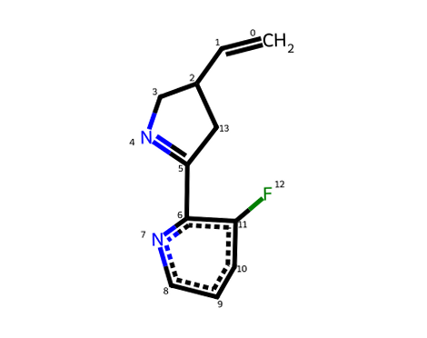 C=CC1CN=C(c2ncccc2F)C1